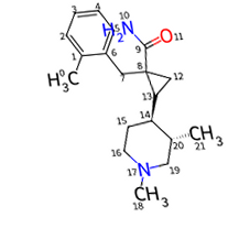 Cc1ccccc1CC1(C(N)=O)CC1[C@@H]1CCN(C)C[C@H]1C